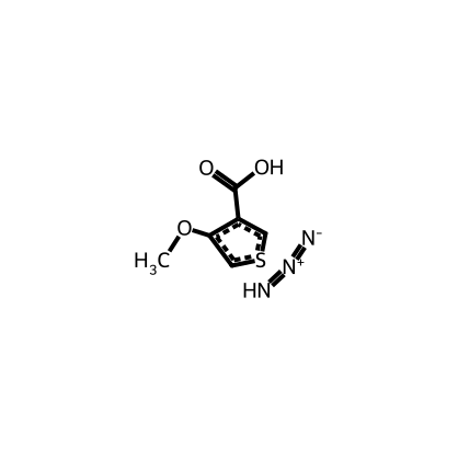 COc1cscc1C(=O)O.[N-]=[N+]=N